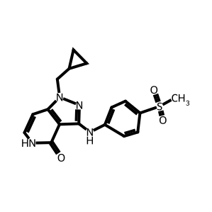 CS(=O)(=O)c1ccc(Nc2nn(CC3CC3)c3cc[nH]c(=O)c23)cc1